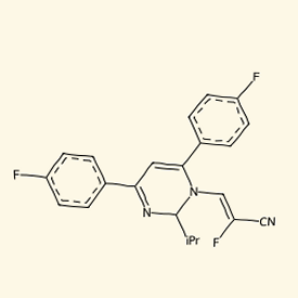 CC(C)C1N=C(c2ccc(F)cc2)C=C(c2ccc(F)cc2)N1C=C(F)C#N